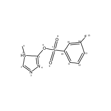 C[SH]1C=NN=C1OS(=O)(=O)c1cccc(F)c1